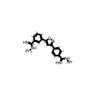 CC(C)NC(=N)c1ccc(-c2cc(-c3cccc(C(=N)NC(C)C)c3)on2)cc1